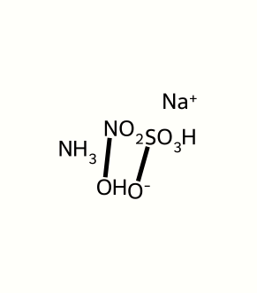 N.O=S(=O)([O-])O.O=[N+]([O-])O.[Na+]